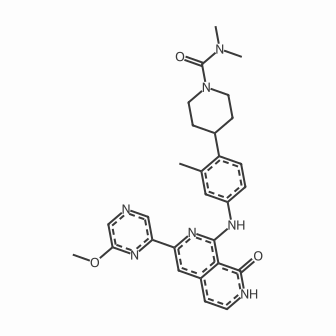 COc1cncc(-c2cc3cc[nH]c(=O)c3c(Nc3ccc(C4CCN(C(=O)N(C)C)CC4)c(C)c3)n2)n1